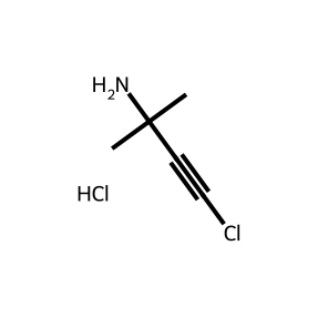 CC(C)(N)C#CCl.Cl